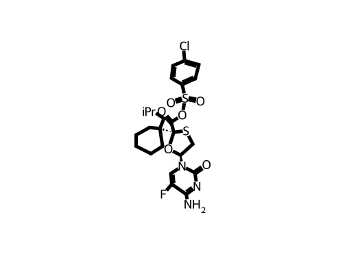 CC(C)CC1([C@@]2(C(=O)OS(=O)(=O)c3ccc(Cl)cc3)O[C@H](n3cc(F)c(N)nc3=O)CS2)CCCCC1